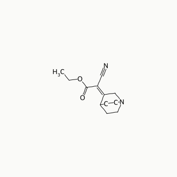 CCOC(=O)/C(C#N)=C1/CN2CCC1CC2